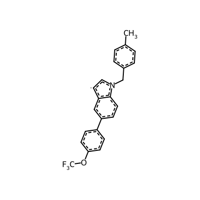 Cc1ccc(Cn2c[c]c3cc(-c4ccc(OC(F)(F)F)cc4)ccc32)cc1